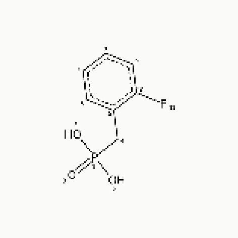 O=P(O)(O)Cc1ccccc1F